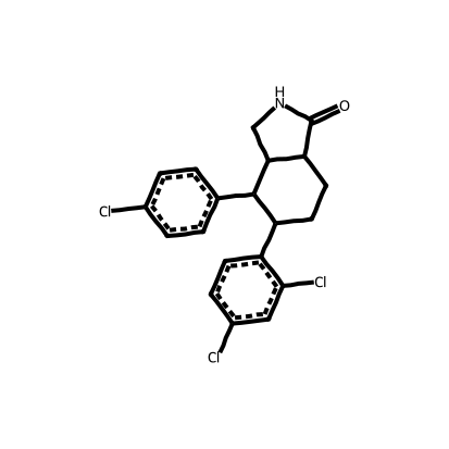 O=C1NCC2C1CCC(c1ccc(Cl)cc1Cl)C2c1ccc(Cl)cc1